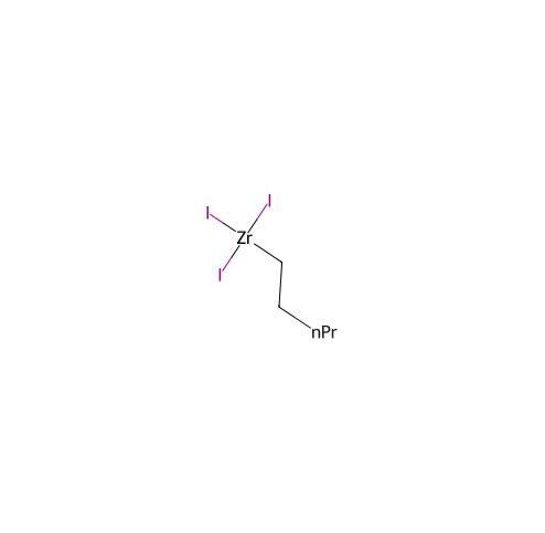 CCCC[CH2][Zr]([I])([I])[I]